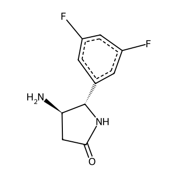 N[C@@H]1CC(=O)N[C@H]1c1cc(F)cc(F)c1